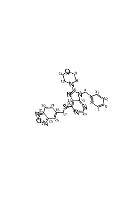 c1ccc(Cn2c(N3CCOCC3)nc3c(SCc4ccc5nonc5c4)ncnc32)cc1